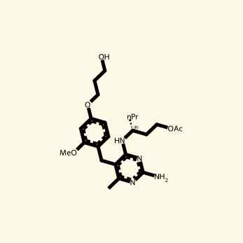 CCC[C@H](CCOC(C)=O)Nc1nc(N)nc(C)c1Cc1ccc(OCCCO)cc1OC